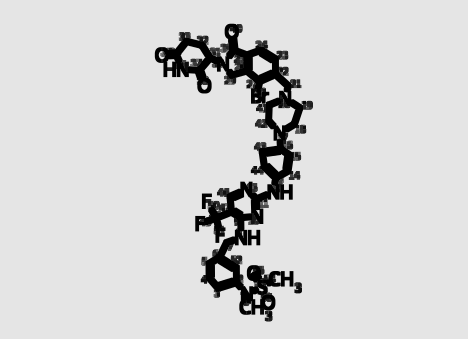 CN(c1cccc(CNc2nc(Nc3ccc(N4CCN(Cc5ccc6c(c5Br)CN(C5CCC(=O)NC5=O)C6=O)CC4)cc3)ncc2C(F)(F)F)c1)S(C)(=O)=O